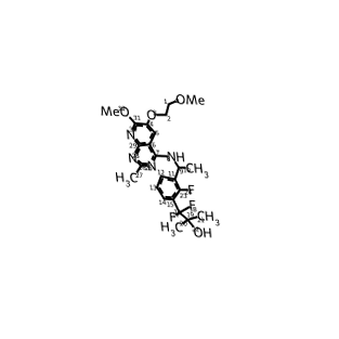 COCCOc1cc2c(NC(C)c3cccc(C(F)(F)C(C)(C)O)c3F)nc(C)nc2nc1OC